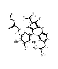 CCOC(=O)OO[C@H]1O[C@@H](Oc2nn(C(C)C)c(C)c2Cc2ccc(OC(C)C)cc2)[C@H](O)[C@@H](O)[C@@H]1O